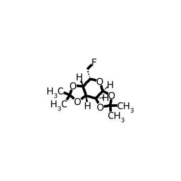 CC1(C)O[C@@H]2O[C@@H](CF)[C@H]3OC(C)(C)O[C@H]3[C@@H]2O1